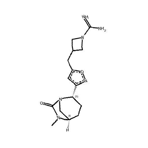 CN1C(=O)N2C[C@H]1CC[C@H]2c1cc(CC2CN(C(=N)N)C2)on1